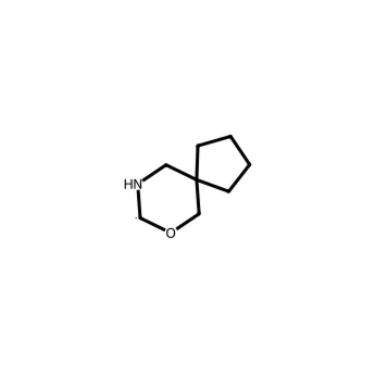 [CH]1NCC2(CCCC2)CO1